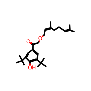 CC(C)=CCCC(C)=CCOCC(=O)c1cc(C(C)(C)C)c(O)c(C(C)(C)C)c1